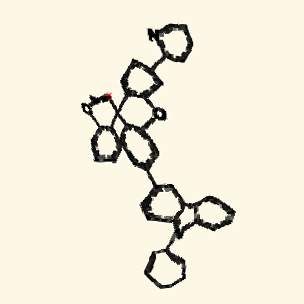 C1=CC(n2c3ccccc3c3cc(-c4ccc5c(c4)Oc4cc(-c6ccccn6)ccc4C54c5ccccc5Oc5ccccc54)ccc32)=CCC1